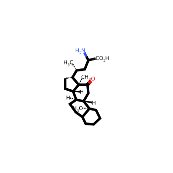 C[C@H](CC(N)C(=O)O)[C@H]1CC[C@H]2[C@@H]3CCC4CCCC[C@]4(C)[C@H]3CC(=O)[C@]12C